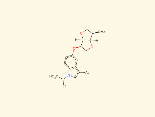 CCC(C(=O)O)n1cc(C(C)=O)c2cc(O[C@@H]3CO[C@H]4[C@@H]3OC[C@H]4OC)ccc21